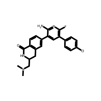 CN(C)CC1Cc2cc(-c3cc(-c4ccc(Cl)cc4)c(F)nc3N)ccc2C(=O)N1